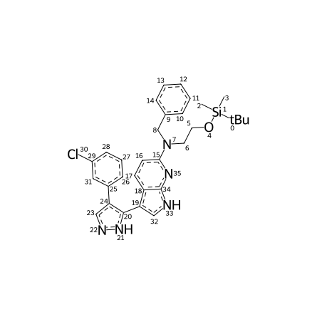 CC(C)(C)[Si](C)(C)OCCN(Cc1ccccc1)c1ccc2c(-c3[nH]ncc3-c3cccc(Cl)c3)c[nH]c2n1